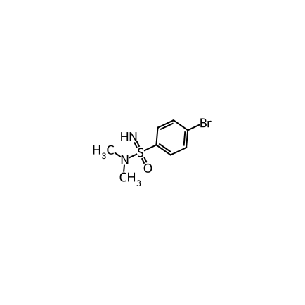 CN(C)S(=N)(=O)c1ccc(Br)cc1